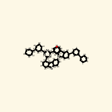 c1ccc(-c2cccc(-c3ccc4c(c3)c3ccccc3n4-c3ccc4sc5cccc(-c6nc(-c7ccccc7)nc(-c7cccc(-c8ccccc8)c7)n6)c5c4c3)c2)cc1